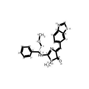 COC[C@H](NC1=N/C(=C\c2ccc3ncsc3c2)C(=O)N1C)c1ccccc1